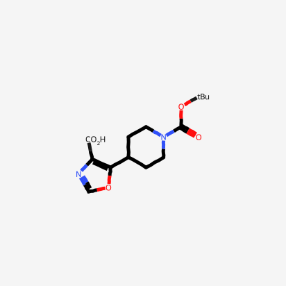 CC(C)(C)OC(=O)N1CCC(c2ocnc2C(=O)O)CC1